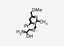 COCC1=NC(C)N(/C=N\CC(N)O)C(C(C)C)=C1